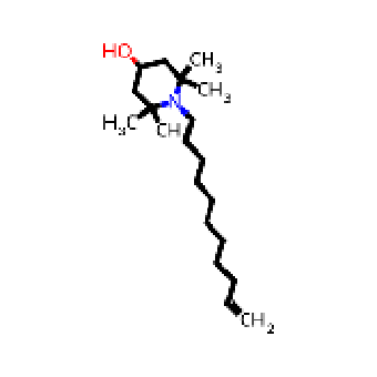 C=CCCCCCCCCCN1C(C)(C)CC(O)CC1(C)C